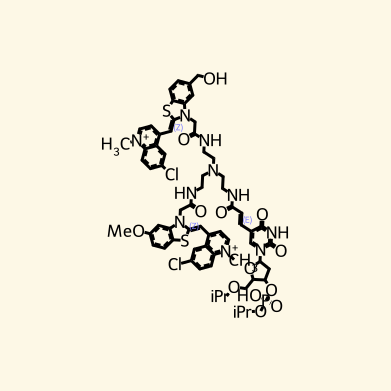 COc1ccc2c(c1)N(CC(=O)NCCN(CCNC(=O)/C=C/c1cn(C3CC(OP(=O)(O)OC(C)C)C(COC(C)C)O3)c(=O)[nH]c1=O)CCNC(=O)CN1/C(=C/c3cc[n+](C)c4ccc(Cl)cc34)Sc3ccc(CO)cc31)/C(=C/c1cc[n+](C)c3ccc(Cl)cc13)S2